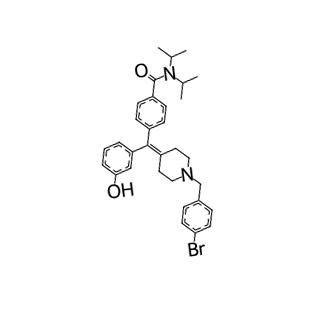 CC(C)N(C(=O)c1ccc(C(=C2CCN(Cc3ccc(Br)cc3)CC2)c2cccc(O)c2)cc1)C(C)C